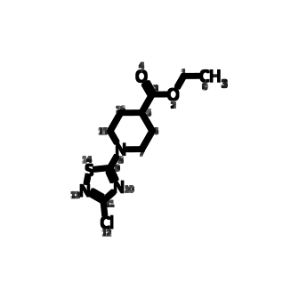 CCOC(=O)C1CCN(c2nc(Cl)ns2)CC1